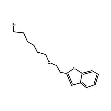 BrCCCCCCOCCc1cc2ccccc2o1